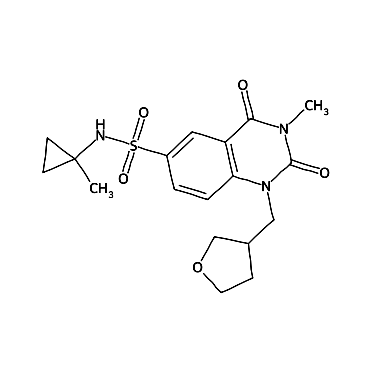 Cn1c(=O)c2cc(S(=O)(=O)NC3(C)CC3)ccc2n(CC2CCOC2)c1=O